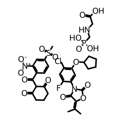 CC(C)=C1OC(=O)N(c2cc(OC3CCCC3)c(Cl)cc2F)C1=O.CS(=O)(=O)c1ccc(C(=O)C2C(=O)CCCC2=O)c([N+](=O)[O-])c1.O=C(O)CNCP(=O)(O)O